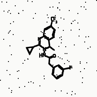 CC1c2ccc(C(F)(F)F)cc2N=C(C2CC2)N1NC(=O)Cc1cccc(F)c1